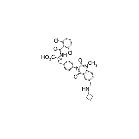 Cn1c(=O)n(-c2ccc(C[C@H](NC(=O)c3c(Cl)cccc3Cl)C(=O)O)cc2)c(=O)c2cc(CNC3CCC3)ccc21